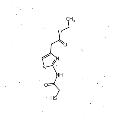 CCOC(=O)Cc1csc(NC(=O)CS)n1